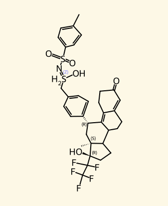 Cc1ccc(S(=O)(=O)/N=[SH2](\O)Cc2ccc([C@H]3C[C@@]4(C)C(CC[C@]4(O)C(F)(F)C(F)(F)F)C4CCC5=CC(=O)CCC5=C43)cc2)cc1